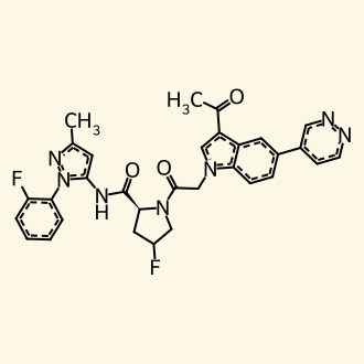 CC(=O)c1cn(CC(=O)N2CC(F)C[C@H]2C(=O)Nc2cc(C)nn2-c2ccccc2F)c2ccc(-c3ccnnc3)cc12